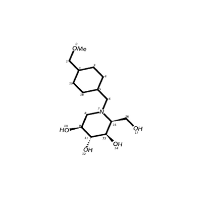 COCC1CCC(CN2C[C@H](O)[C@@H](O)[C@H](O)[C@@H]2CO)CC1